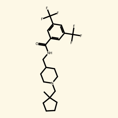 CC1(CN2CCC(CNC(=O)c3cc(C(F)(F)F)cc(C(F)(F)F)c3)CC2)CCCC1